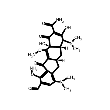 CN(C)c1cc(C=O)c(ON)c2c1C[C@H]1C[C@H]3C(N(C)C)C(O)=C(C(N)=O)C(=O)[C@@]3(O)C(ON)=C1C2=O